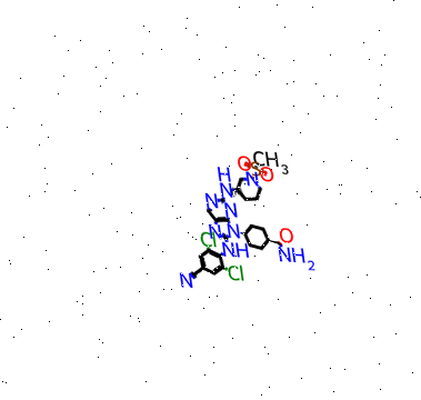 CS(=O)(=O)N1CCC[C@@H](Nc2ncc3nc(Nc4c(Cl)cc(C#N)cc4Cl)n([C@H]4CC[C@H](C(N)=O)CC4)c3n2)C1